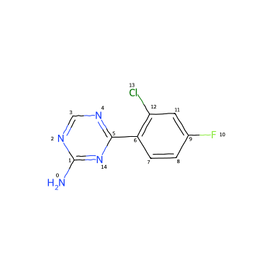 Nc1ncnc(-c2ccc(F)cc2Cl)n1